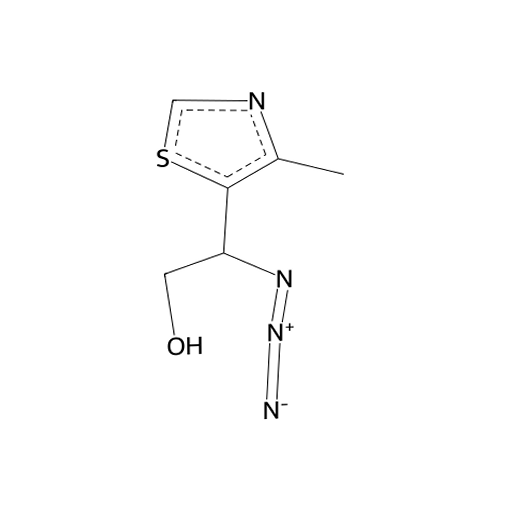 Cc1ncsc1C(CO)N=[N+]=[N-]